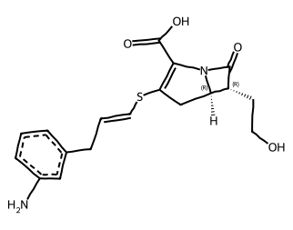 Nc1cccc(CC=CSC2=C(C(=O)O)N3C(=O)[C@H](CCO)[C@H]3C2)c1